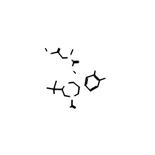 COC(=O)CN(C)C(=O)NC[C@H]1OC(C(C)(C)C)CN(C(=O)O)C[C@H]1c1ccc(Cl)c(Cl)c1